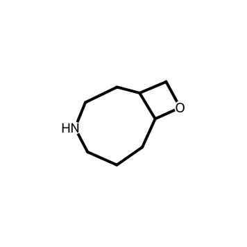 C1CNCCC2COC2C1